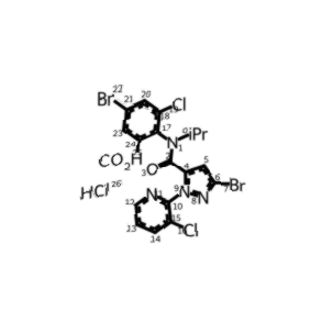 CC(C)N(C(=O)c1cc(Br)nn1-c1ncccc1Cl)c1c(Cl)cc(Br)cc1C(=O)O.Cl